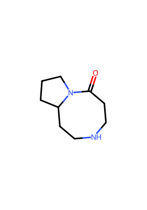 O=C1CCNCCC2CCCN12